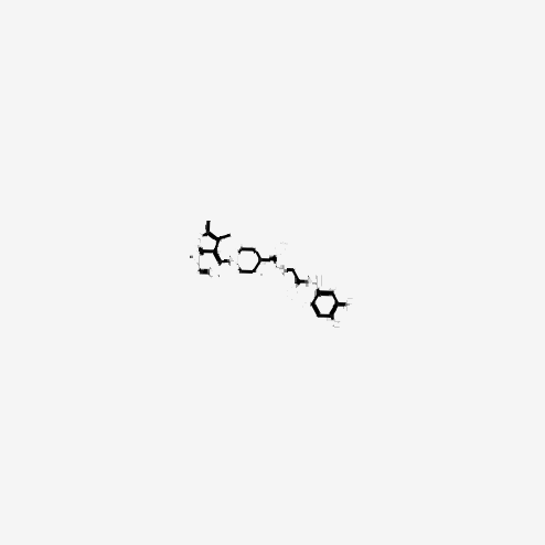 Cc1sc2ncnc(N3CCC(C(=O)NCC(=O)Nc4ccc(F)c(F)c4)CC3)c2c1C